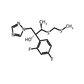 CSCS[C@H](C)[C@](O)(Cn1cncn1)c1ccc(F)cc1F